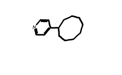 c1cc(C2CCCCCCCC2)ccn1